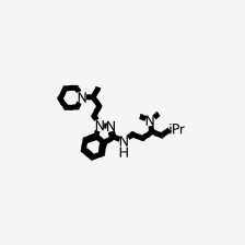 CC(C)CC(CCNc1nn(CCC(C)N2CCCCC2)c2ccccc12)N(C)C